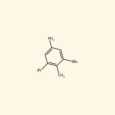 Cc1c(C(C)C)cc(P)cc1C(C)(C)C